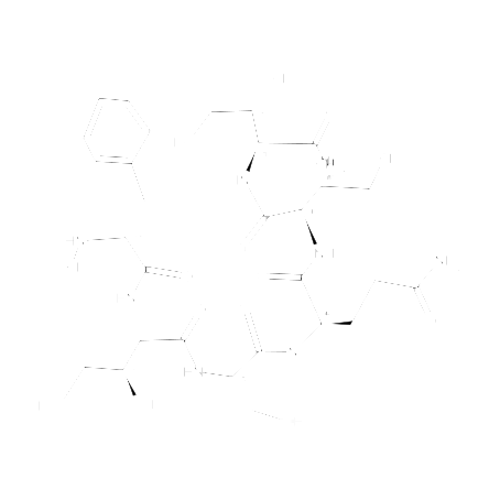 CC[C@@H](C)[C@@H](NC(=O)[C@@H](CCC(N)=O)NC(=O)[C@H](CO)NC(=O)[C@@H](NC(=O)[C@@H](Cc1ccccc1)NC)[C@@H](C)CC)C(=O)N[C@H](C(N)=O)[C@@H](C)CC